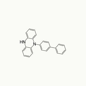 c1ccc(-c2ccc(N3c4ccccc4Nc4ccccc43)cc2)cc1